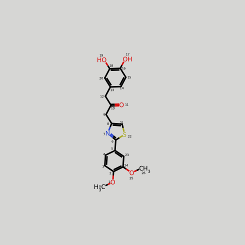 COc1ccc(-c2nc(CC(=O)Cc3ccc(O)c(O)c3)cs2)cc1OC